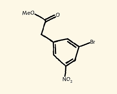 COC(=O)Cc1cc(Br)cc([N+](=O)[O-])c1